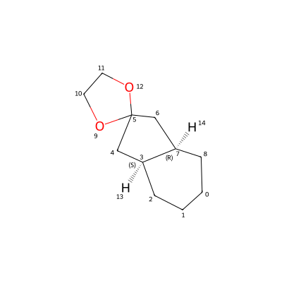 C1CC[C@H]2CC3(C[C@H]2C1)OCCO3